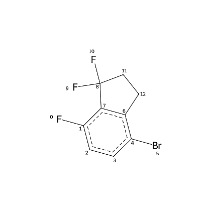 Fc1ccc(Br)c2c1C(F)(F)CC2